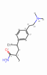 CCC(CC(C)C(N)=O)c1ccc(CCN(C)C)cc1